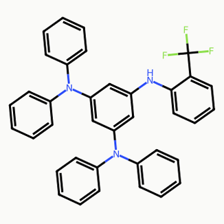 FC(F)(F)c1ccccc1Nc1cc(N(c2ccccc2)c2ccccc2)cc(N(c2ccccc2)c2ccccc2)c1